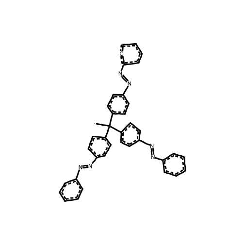 [CH2]C(c1ccc(/N=N/c2ccccc2)cc1)(c1ccc(/N=N/c2ccccc2)cc1)c1ccc(/N=N/c2ccccc2)cc1